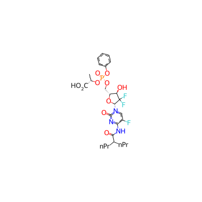 CCCC(CCC)C(=O)Nc1nc(=O)n([C@@H]2O[C@H](COP(=O)(Oc3ccccc3)O[C@@H](C)C(=O)O)[C@@H](O)C2(F)F)cc1F